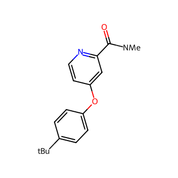 CNC(=O)c1cc(Oc2ccc(C(C)(C)C)cc2)ccn1